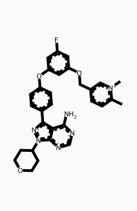 Cc1ccc(COc2cc(F)cc(Oc3ccc(-c4nn(C5CCOCC5)c5ncnc(N)c45)cc3)c2)c[n+]1C